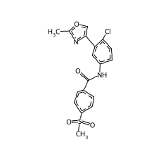 Cc1nc(-c2cc(NC(=O)c3ccc(S(C)(=O)=O)cc3)ccc2Cl)co1